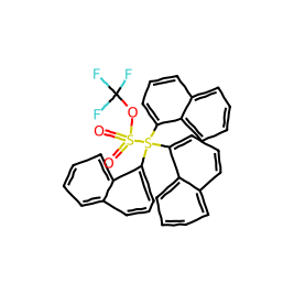 O=S(=O)(OC(F)(F)F)S(c1cccc2ccccc12)(c1cccc2ccccc12)c1cccc2ccccc12